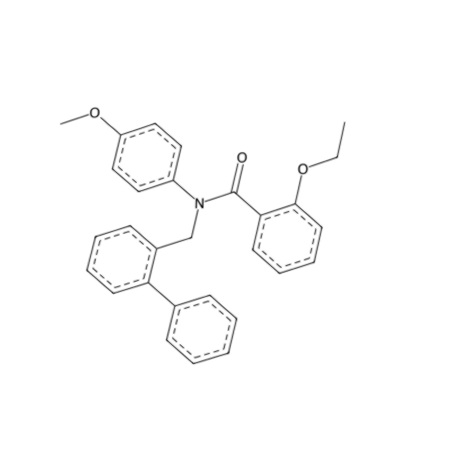 CCOc1ccccc1C(=O)N(Cc1ccccc1-c1ccccc1)c1ccc(OC)cc1